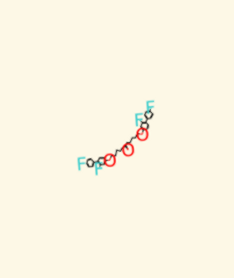 O=C(CCCCCOc1ccc(-c2ccc(F)cc2)c(F)c1)CCCCCOc1ccc(-c2ccc(F)cc2)c(F)c1